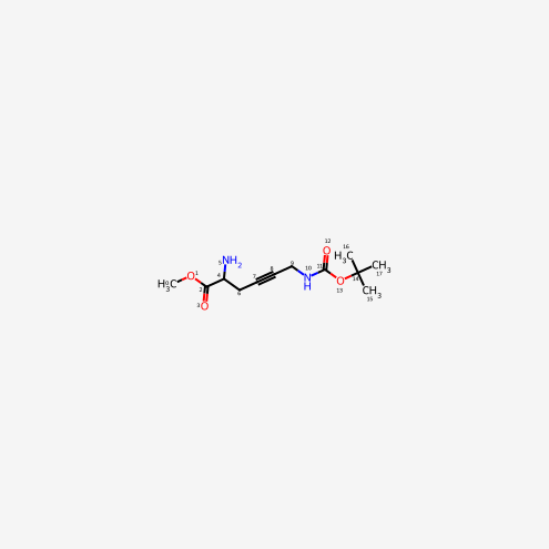 COC(=O)C(N)CC#CCNC(=O)OC(C)(C)C